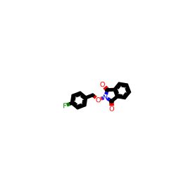 O=C1c2ccccc2C(=O)N1OCc1ccc(F)cc1